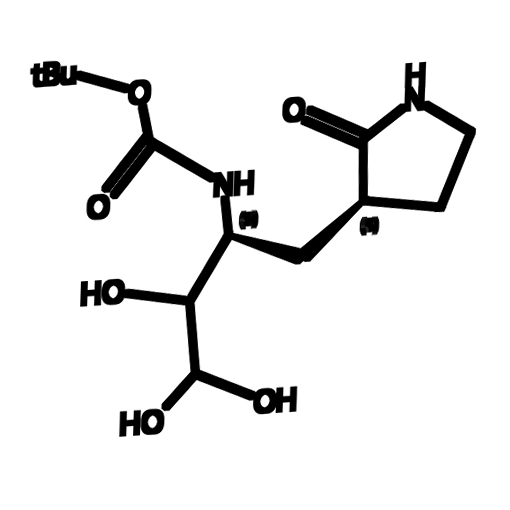 CC(C)(C)OC(=O)N[C@@H](C[C@@H]1CCNC1=O)C(O)C(O)O